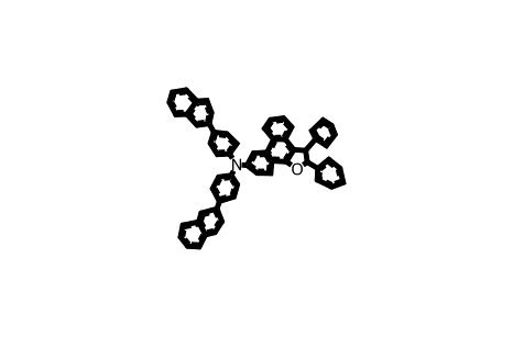 c1ccc(C2Oc3c(c4ccccc4c4cc(N(c5ccc(-c6ccc7ccccc7c6)cc5)c5ccc(-c6ccc7ccccc7c6)cc5)ccc34)C2c2ccccc2)cc1